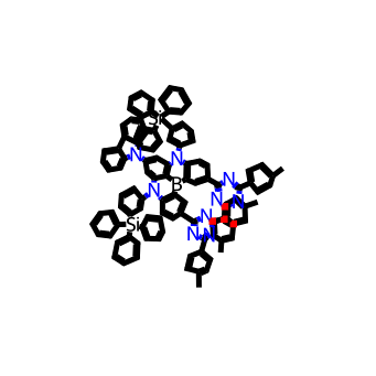 Cc1ccc(-c2nc(-c3ccc(C)cc3)nc(-c3ccc4c(c3)B3c5cc(-c6nc(-c7ccc(C)cc7)nc(-c7ccc(C)cc7)n6)ccc5N(c5cccc([Si](c6ccccc6)(c6ccccc6)c6ccccc6)c5)c5cc(-n6c7ccccc7c7ccccc76)cc(c53)N4c3cccc([Si](c4ccccc4)(c4ccccc4)c4ccccc4)c3)n2)cc1